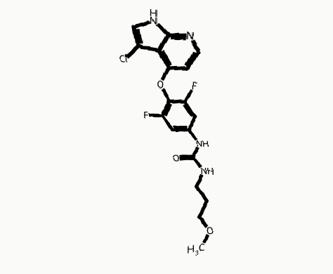 COCCCNC(=O)Nc1cc(F)c(Oc2ccnc3[nH]cc(Cl)c23)c(F)c1